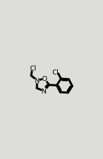 ClCN1CN=C(c2ccccc2Cl)O1